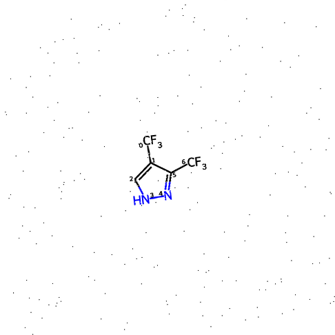 FC(F)(F)c1[c][nH]nc1C(F)(F)F